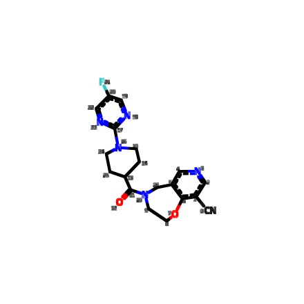 N#Cc1cncc2c1OCCN(C(=O)C1CCN(c3ncc(F)cn3)CC1)C2